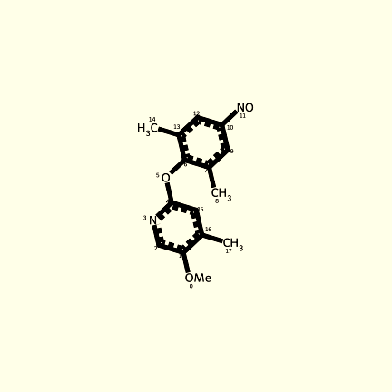 COc1cnc(Oc2c(C)cc(N=O)cc2C)cc1C